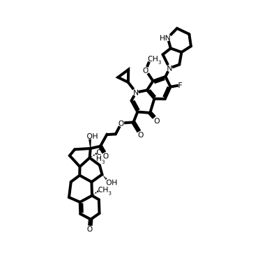 COc1c(N2CC3CCCNC3C2)c(F)cc2c(=O)c(C(=O)OC[CH]C(=O)[C@@]3(O)CCC4C5CCC6=CC(=O)CC[C@]6(C)C5[C@@H](O)C[C@@]43C)cn(C3CC3)c12